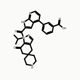 CC(C)[N+]1(C(=O)c2cc3c(-c4cccc(C(=O)O)c4)ccnc3[nH]2)N=CC2=C1C(=O)CC1(CCNCC1)C2